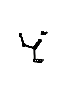 O=C([O-])C(=O)OF.[Na+]